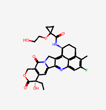 CC[C@@]1(O)C(=O)OCc2c1cc1n(c2=O)Cc2c-1nc1cc(F)c(C)c3c1c2[C@@H](NC(=O)C1(OCCO)CC1)CC3